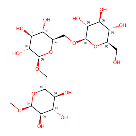 CO[C@H]1O[C@H](CO[C@@H]2O[C@H](CO[C@@H]3O[C@H](CO)[C@@H](O)[C@H](O)[C@H]3O)[C@@H](O)[C@H](O)[C@H]2O)[C@@H](O)[C@H](O)[C@H]1O